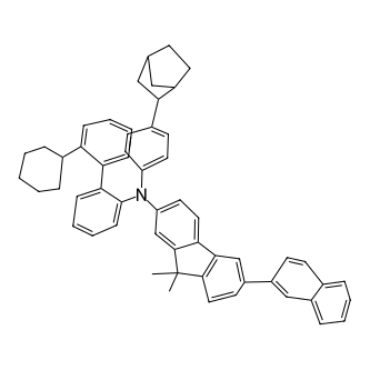 CC1(C)c2ccc(-c3ccc4ccccc4c3)cc2-c2ccc(N(c3ccc(C4CC5CCC4C5)cc3)c3ccccc3-c3ccccc3C3CCCCC3)cc21